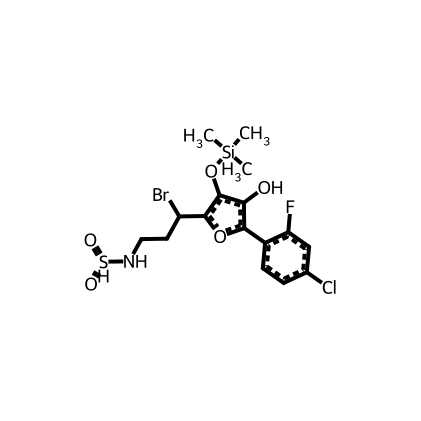 C[Si](C)(C)Oc1c(C(Br)CCN[SH](=O)=O)oc(-c2ccc(Cl)cc2F)c1O